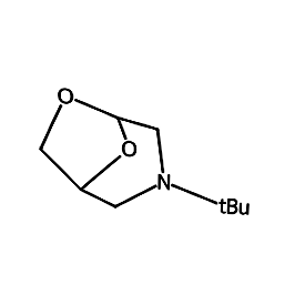 CC(C)(C)N1CC2COC(C1)O2